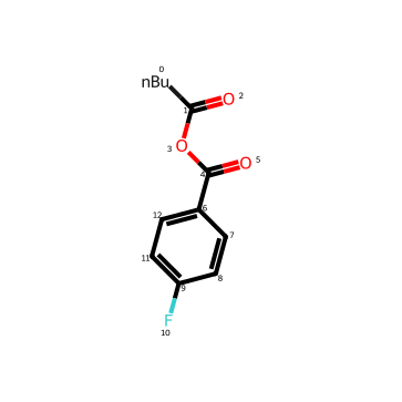 CCCCC(=O)OC(=O)c1ccc(F)cc1